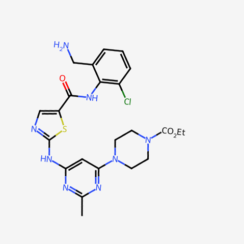 CCOC(=O)N1CCN(c2cc(Nc3ncc(C(=O)Nc4c(Cl)cccc4CN)s3)nc(C)n2)CC1